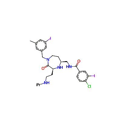 Cc1cc(I)cc(CN2CC[C@@H](CNC(=O)c3ccc(Cl)c(I)c3)N[C@@H](CCNC(C)C)C2=O)c1